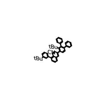 CC(C)(C)c1ccc(C#N)c(-c2cccc3cc(-c4ccc(-c5ccccc5)c(-c5ccccc5)c4C(C)(C)C)ccc23)c1